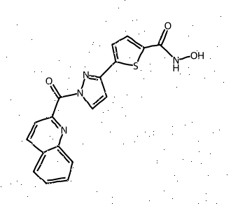 O=C(NO)c1ccc(-c2ccn(C(=O)c3ccc4ccccc4n3)n2)s1